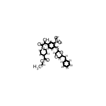 C=C(C(=O)N1CCC(C(=O)OCC)CC1)c1ccc(SC2COCC(Cc3ccccc3)O2)c([N+](=O)[O-])c1